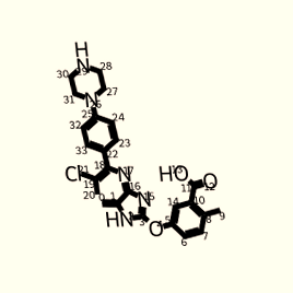 C=C1NC(Oc2ccc(C)c(C(=O)O)c2)=N/C1=N/C(=C(\C)Cl)c1ccc(N2CCNCC2)cc1